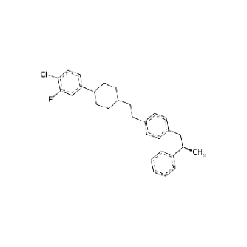 C[C@H](Cc1ccc(CCC2CCC(c3ccc(Cl)c(F)c3)CC2)cc1)c1ccccc1